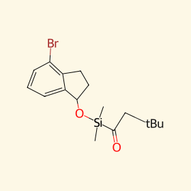 CC(C)(C)CC(=O)[Si](C)(C)OC1CCc2c(Br)cccc21